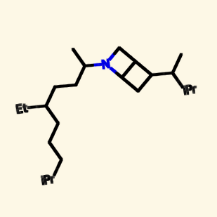 CCC(CCCC(C)C)CCC(C)N1CC2C(C(C)C(C)C)CC21